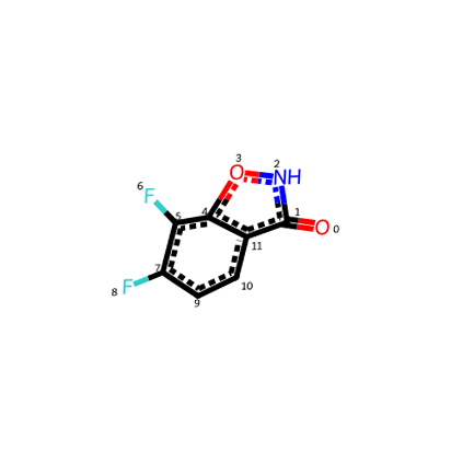 O=c1[nH]oc2c(F)c(F)ccc12